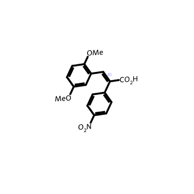 COc1ccc(OC)c(/C=C(/C(=O)O)c2ccc([N+](=O)[O-])cc2)c1